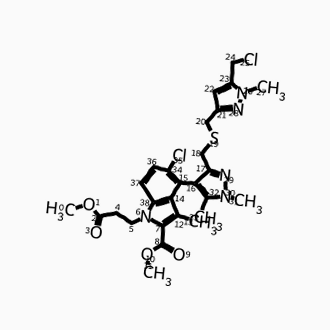 COC(=O)CCn1c(C(=O)OC)c(C)c2c(-c3c(CSCc4cc(CCl)n(C)n4)nn(C)c3C)c(Cl)ccc21